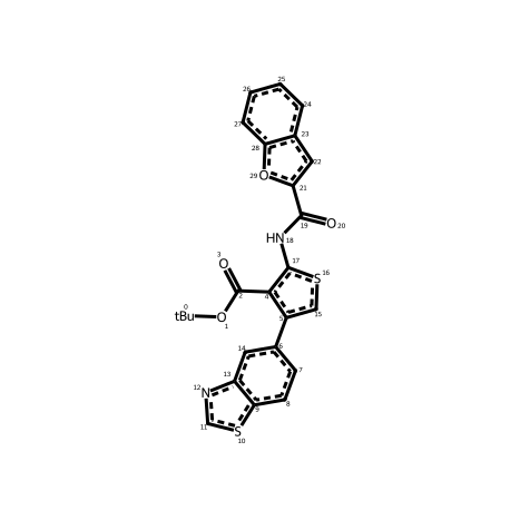 CC(C)(C)OC(=O)c1c(-c2ccc3scnc3c2)csc1NC(=O)c1cc2ccccc2o1